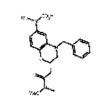 CON(C)C(=O)C[C@H]1CN(Cc2ccccc2)c2cc(N(C(=O)O)C(C)(C)C)ccc2O1